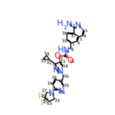 Nc1nccc2cc(CNC(=O)Oc3cn(Cc4ccc(N5CCC(F)(F)C5)nc4)nc3C3CC3)ccc12